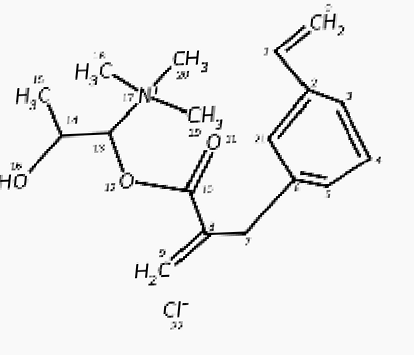 C=Cc1cccc(CC(=C)C(=O)OC(C(C)O)[N+](C)(C)C)c1.[Cl-]